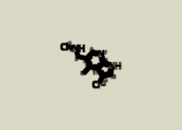 Cc1c(CNCl)cnc2[nH]cc(Cl)c12